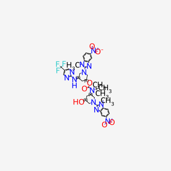 Cn1c(N2C[C@H](Nc3ncc(C(F)(F)F)cn3)C[C@@H](OC(=O)N([C@@H]3C[C@@H](O)CN(c4nc5cc([N+](=O)[O-])ccc5n4C)C3)C(C)(C)C)C2)nc2cc([N+](=O)[O-])ccc21